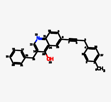 Cc1ccc(CC#Cc2ccc3ncc(Cc4ccccc4)c(O)c3c2)cc1